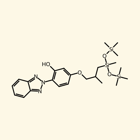 CC(COc1ccc(-n2nc3ccccc3n2)c(O)c1)C[Si](C)(O[Si](C)(C)C)O[Si](C)(C)C